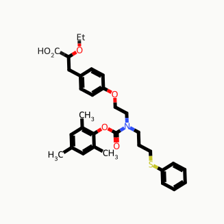 CCOC(Cc1ccc(OCCN(CCCSc2ccccc2)C(=O)Oc2c(C)cc(C)cc2C)cc1)C(=O)O